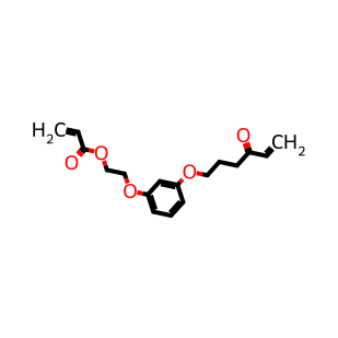 C=CC(=O)CCCOc1cccc(OCCOC(=O)C=C)c1